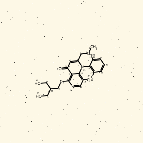 COCc1cc(=O)c2c(OCC(CO)CO)ncc(Cl)c2n1-c1c(Cl)cccc1Cl